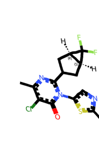 Cc1ncc(-n2c(C3C[C@@H]4[C@H](C3)C4(F)F)nc(C)c(Cl)c2=O)s1